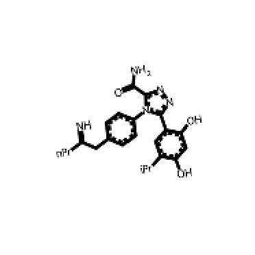 CCCC(=N)Cc1ccc(-n2c(C(N)=O)nnc2-c2cc(C(C)C)c(O)cc2O)cc1